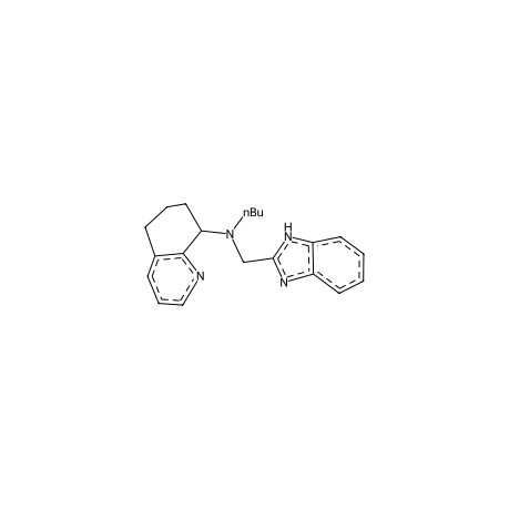 CCCCN(Cc1nc2ccccc2[nH]1)C1CCCc2cccnc21